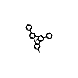 Ic1ccc2c(c1)c1cc(-c3ccccc3)cc3c4cc(-c5ccccc5)ccc4n2c13